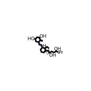 C=C1/C(=C\C=C2/CCC[C@@]3(C)[C@H]2CC[C@@H]3[C@](C)(O)CCC(O)C(C)C)C[C@H](O)C[C@H]1O